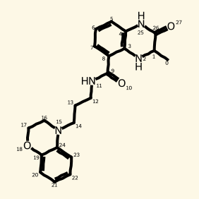 CC1Nc2c(cccc2C(=O)NCCCN2CCOc3ccccc32)NC1=O